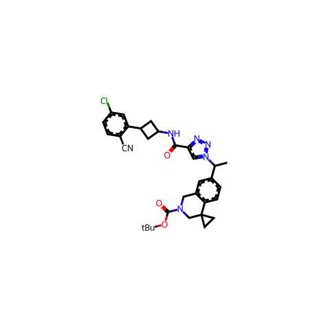 CC(c1ccc2c(c1)CN(C(=O)OC(C)(C)C)CC21CC1)n1cc(C(=O)NC2CC(c3cc(Cl)ccc3C#N)C2)nn1